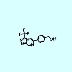 OCc1ccc(-c2cn3c(C(F)(F)F)nnc3cn2)cc1